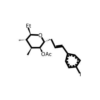 CC[C@H]1O[C@H](C/C=C/c2ccc(I)cc2)[C@@H](OC(C)=O)[C@@H](C)[C@@H]1C